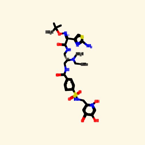 COCN([C@@H](CNC(=O)/C(=N\OC(C)(C)C(=O)O)c1csc(N)n1)CNC(=O)c1ccc(S(=O)(=O)NCc2cc(=O)c(O)cn2O)cc1)S(=O)(=O)O